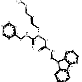 COC/C=C/C[C@H](NC(=O)OCC1c2ccccc2-c2ccccc21)C(=O)OCc1ccccc1